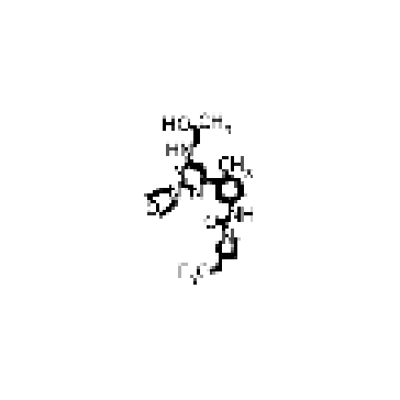 Cc1ccc(NC(=O)N2CCC(CC(F)(F)F)C2)cc1-c1cc(NCC(C)O)nc(N2CCOCC2)n1